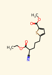 CCOC(=O)C(C#N)CCCc1ccc(C(=O)OC)s1